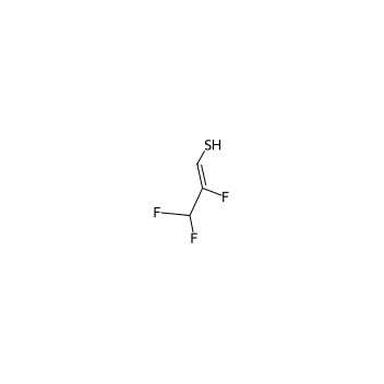 FC(=CS)C(F)F